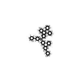 c1ccc(-c2ccc(N(c3ccc(-c4ccc(-c5ccccc5)cc4-c4ccccc4)cc3)c3ccc4c(-c5ccccc5)c(-c5ccccc5)c5ccccc5c4c3)cc2)cc1